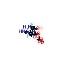 CNC1CN(c2c(F)c(C)c3c(=O)c(C(=O)OCc4oc(=O)oc4C)cn(-c4cc(N)c(F)cc4CO)c3c2C)C1